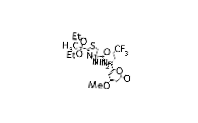 CCOC(C)(OCC)C1=N[C@](N)(C(=O)N[C@H](CCC(F)(F)F)c2cc(OC)cc(=O)o2)CS1